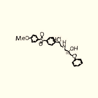 COc1ccc(S(=O)(=O)c2ccc(CCNC[C@H](O)COc3ccccc3)cc2)cc1.Cl